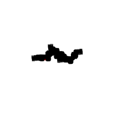 O=C(/C=C/c1ccc(O)cc1)c1ccc(NS(=O)(=O)c2cccc(C(=O)c3cccc(S(=O)(=O)Nc4ccc(C(=O)/C=C/c5ccc(O)cc5)cc4)c3)c2)cc1